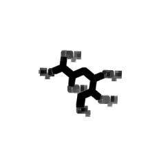 [CH2]C(C(=O)O)C(CC(C(=O)O)C(C=C)C(=O)O)C(=O)O